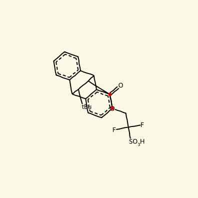 CC(C)(C)C1C2c3ccccc3C(c3ccccc32)C1C(=O)OCC(F)(F)S(=O)(=O)O